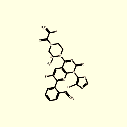 C=Cc1ccccc1-c1nc2c(cc1F)c(N1CCN(C(=O)C(=C)F)C[C@@H]1C)nc(=O)n2-c1scnc1C(C)C